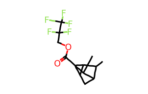 CC1C2CC3C1C3(C(=O)OCC(F)(F)C(F)(F)F)C2C